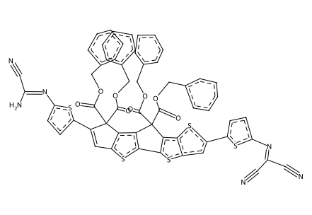 N#CC(C#N)=Nc1ccc(-c2cc3sc4c(c3s2)C(C(=O)OCc2ccccc2)(C(=O)OCc2ccccc2)c2c-4sc3c2C(C(=O)OCc2ccccc2)(C(=O)OCc2ccccc2)C(c2ccc(/N=C(\N)C#N)s2)=C3)s1